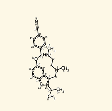 CNCCN(C)Cc1c2cc(OCc3ccc(C#N)cc3)ccc2nn1C(C)C